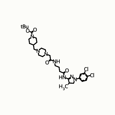 CC1CN(c2ccc(Cl)c(Cl)c2)N=C1NC(=O)CCCNC(=O)CN1CCN(CC2CCN(C(=O)OC(C)(C)C)CC2)CC1